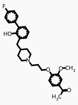 COc1cc(C(C)=O)ccc1OCCCN1CCC(Cc2cccc(-c3ccc(F)cc3)c2O)CC1